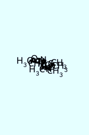 CN(CCN(C)C(=O)OC(C)(C)C)Cc1ccnn1[C@H]1CC[C@]2(CC1)CC(C)(C)CO2